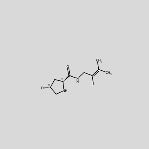 CC(C)=C(F)CNC(=O)[C@@H]1C[C@@H](F)CN1